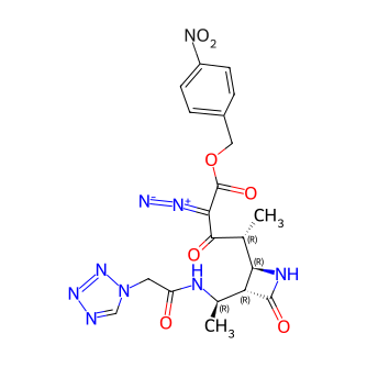 C[C@@H](NC(=O)Cn1cnnn1)[C@H]1C(=O)N[C@@H]1[C@@H](C)C(=O)C(=[N+]=[N-])C(=O)OCc1ccc([N+](=O)[O-])cc1